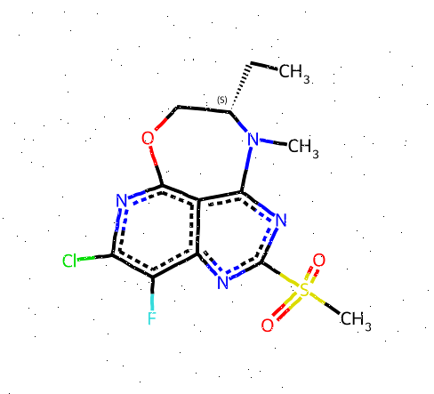 CC[C@H]1COc2nc(Cl)c(F)c3nc(S(C)(=O)=O)nc(c23)N1C